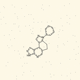 c1ccc(-n2ncc3c2CCc2cnc4[nH]ncc4c2-3)cc1